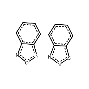 c1ccc2nonc2c1.c1ccc2snnc2c1